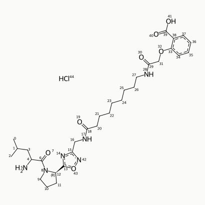 CC(C)CC(N)C(=O)N1CCC[C@@H]1c1nc(CNC(=O)CCCCCCCCNC(=O)COc2ccccc2C(=O)O)no1.Cl